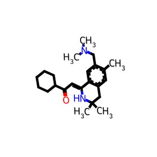 Cc1cc2c(cc1CN(C)C)C(=CC(=O)C1CCCCC1)NC(C)(C)C2